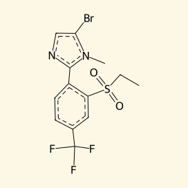 CCS(=O)(=O)c1cc(C(F)(F)F)ccc1-c1ncc(Br)n1C